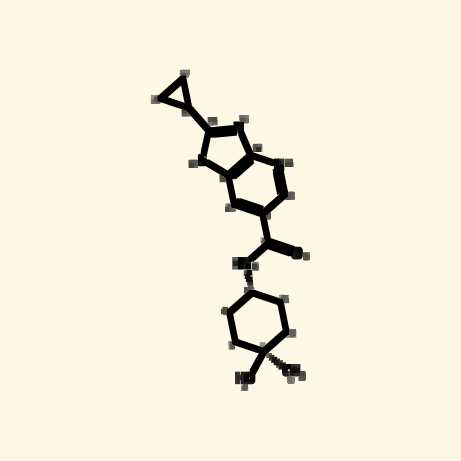 C[C@]1(O)CC[C@H](NC(=O)c2cnc3nc(C4CC4)sc3c2)CC1